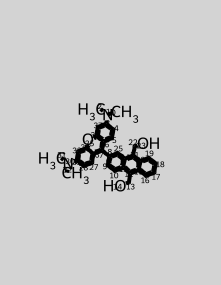 CN(C)c1ccc2c(-c3ccc4c(CO)c5ccccc5c(CO)c4c3)c3ccc(=[N+](C)C)cc-3oc2c1